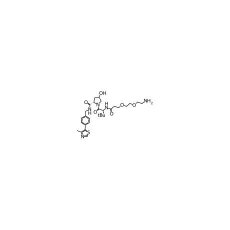 Cc1ncsc1-c1ccc(CNC(=O)[C@@H]2CC(O)CN2C(=O)[C@@H](NC(=O)CCOCCOCCN)C(C)(C)C)cc1